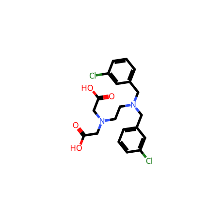 O=C(O)CN(CCN(Cc1cccc(Cl)c1)Cc1cccc(Cl)c1)CC(=O)O